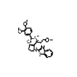 COc1ccc(C(=O)N(C)[C@@H](CCO)C2CCCN2c2nc3ccccc3s2)cc1OC